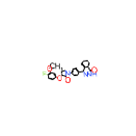 COc1cc(OC2CCN(c3ccc(-c4n[nH]c(=O)c5ccccc45)cc3)C2=O)ccc1F